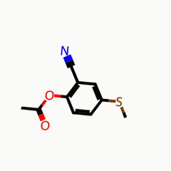 CSc1ccc(OC(C)=O)c(C#N)c1